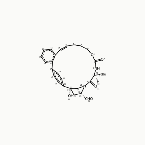 CC(C)(C)[C@@H]1NC(=O)OCCCC=Cc2ccccc2-c2ccc(cc2)[C@]2(O)C[C@@H](C=O)N(C2)C1=O